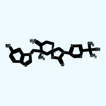 C=C1CC[C@@]2(CN(c3cnc(C(C)(C)O)cn3)C(=O)O2)C[C@@]1(C)Cn1cnc2ccc(C#N)cc21